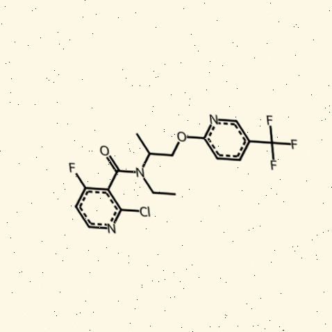 CCN(C(=O)c1c(F)ccnc1Cl)C(C)COc1ccc(C(F)(F)F)cn1